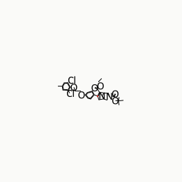 CCOC(=O)C1=C(c2ccc(OCCOc3c(Cl)cc(C)cc3Cl)cc2)CC2CN(C(=O)OC(C)(C)C)CC1N2C